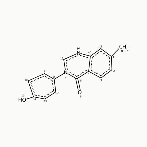 Cc1ccc2c(=O)n(-c3ccc(O)cc3)cnc2c1